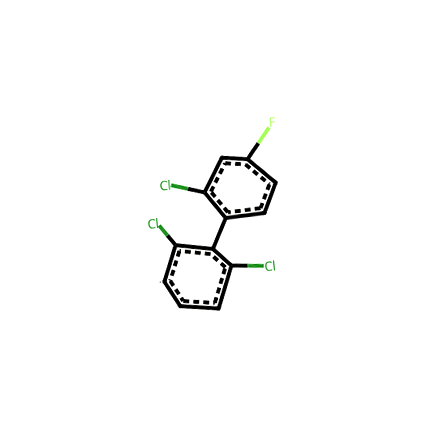 Fc1ccc(-c2c(Cl)[c]ccc2Cl)c(Cl)c1